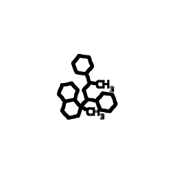 CC(CC(C1CCCCC1)C1(C)CCCC2CCCCC21)C1CCCCC1